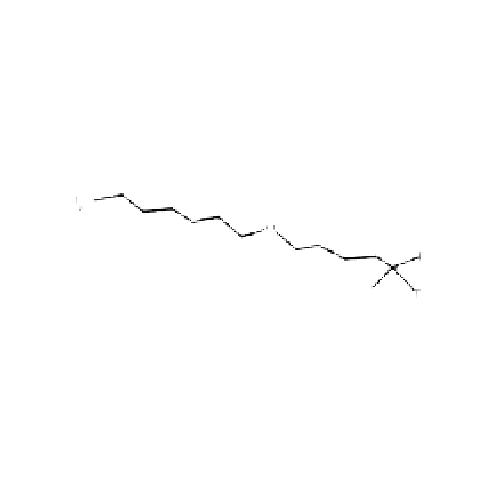 CCCCCCCOCCC[CH]C(F)(F)F